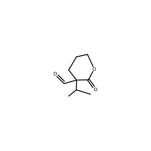 CC(C)C1(C=O)CCCOC1=O